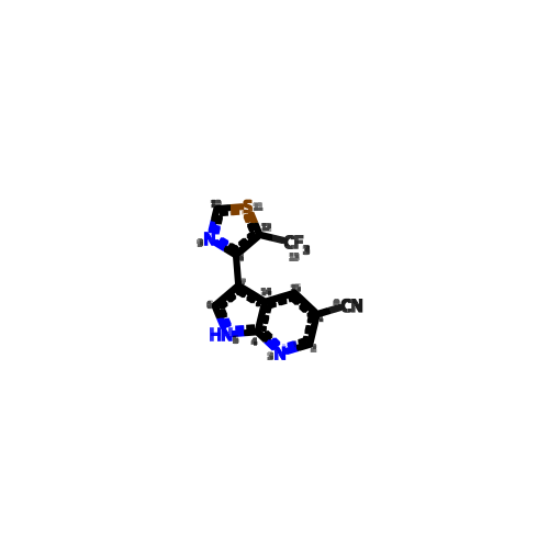 N#Cc1cnc2[nH]cc(-c3ncsc3C(F)(F)F)c2c1